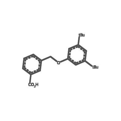 CC(C)(C)c1cc(OCc2cccc(C(=O)O)c2)cc(C(C)(C)C)c1